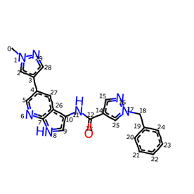 Cn1cc(-c2cnc3[nH]cc(NC(=O)c4cnn(Cc5ccccc5)c4)c3c2)cn1